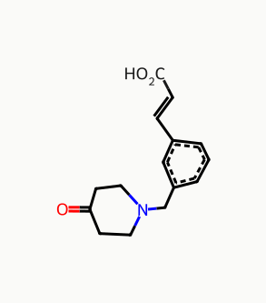 O=C(O)/C=C/c1cccc(CN2CCC(=O)CC2)c1